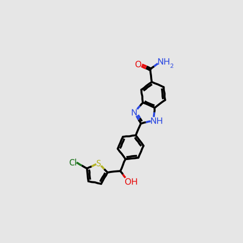 NC(=O)c1ccc2[nH]c(-c3ccc(C(O)c4ccc(Cl)s4)cc3)nc2c1